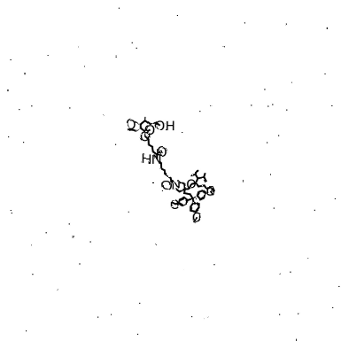 C=CCCCC(OCC1(CCC(c2ccc(OC)cc2)(c2ccc(OC)cc2)c2ccc(OC)cc2)CCN(C(=O)CCCCCNC(=O)CCCCO[C@@H]2O[C@H](CO)[C@H](C)[C@H](C)[C@H]2CC(C)=O)CC1)C(C(C)C)C(C)C